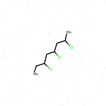 CC(C)(C)CC(Cl)CC(Cl)CC(Cl)C(C)(C)C